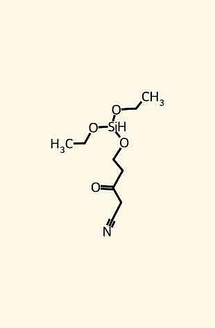 CCO[SiH](OCC)OCCC(=O)CC#N